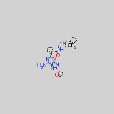 Nc1nc(N2CCC[C@H]2C(=O)N2CCN(CC3(C(F)(F)F)CCCC3)CC2)nc2nc(-c3ccco3)nn12